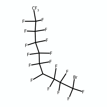 FC(C(F)(F)C(F)(F)C(F)(F)Br)C(F)(F)C(F)(F)C(F)(F)C(F)(F)C(F)(F)C(F)(F)F